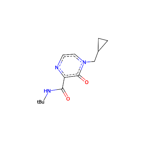 CC(C)(C)NC(=O)c1nccn(CC2CC2)c1=O